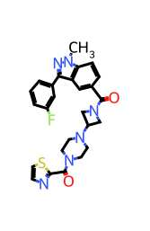 Cn1nc(-c2cccc(F)c2)c2cc(C(=O)N3CC(N4CCN(C(=O)c5nccs5)CC4)C3)ccc21